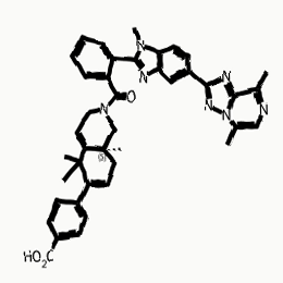 Cc1ncc(C)n2nc(-c3ccc4c(c3)nc(-c3ccccc3C(=O)N3CC=C5C(C)(C)C(c6ccc(C(=O)O)cc6)=CC[C@]5(C)C3)n4C)nc12